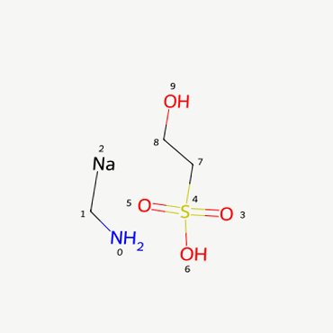 N[CH2][Na].O=S(=O)(O)CCO